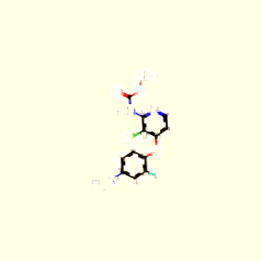 CC(C)(C)OC(=O)Nc1nccc(Oc2ccc(N)cc2F)c1Cl